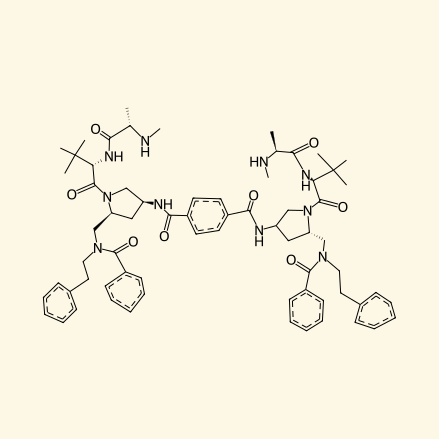 CN[C@@H](C)C(=O)N[C@H](C(=O)N1CC(NC(=O)c2ccc(C(=O)N[C@H]3C[C@@H](CN(CCc4ccccc4)C(=O)c4ccccc4)N(C(=O)[C@@H](NC(=O)[C@H](C)NC)C(C)(C)C)C3)cc2)C[C@H]1CN(CCc1ccccc1)C(=O)c1ccccc1)C(C)(C)C